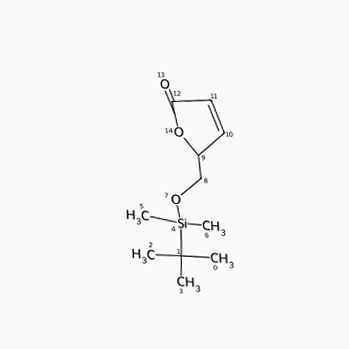 CC(C)(C)[Si](C)(C)OCC1C=CC(=O)O1